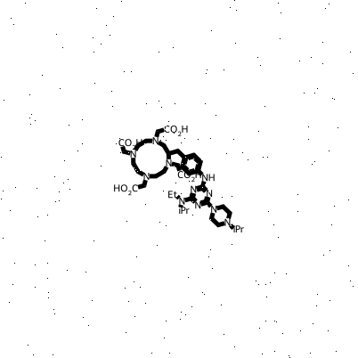 CCN(c1nc(Nc2ccc(CC3CN(CC(=O)O)CCN(CC(=O)O)CCN(CC(=O)O)CCN3CC(=O)O)cc2)nc(N2CCN(C(C)C)CC2)n1)C(C)C